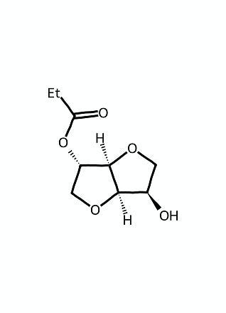 CCC(=O)O[C@H]1CO[C@H]2[C@@H]1OC[C@H]2O